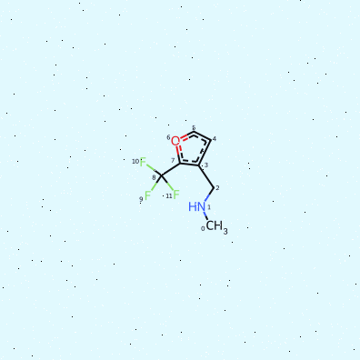 CNCc1ccoc1C(F)(F)F